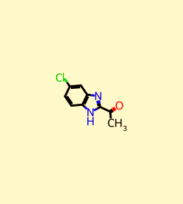 CC(=O)c1nc2cc(Cl)ccc2[nH]1